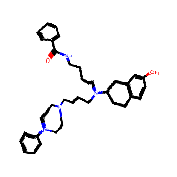 O=C(NCCCCN(CCCCN1CCN(c2ccccc2)CC1)C1CCc2ccc(O)cc2C1)c1ccccc1